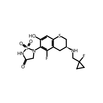 O=C1CN(c2c(O)cc3c(c2F)C[C@H](NCC2(F)CC2)CS3)S(=O)(=O)N1